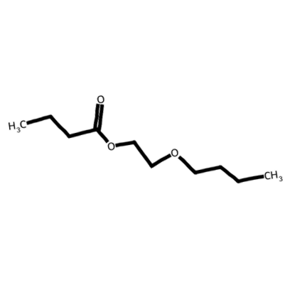 CCCCOCCOC(=O)CCC